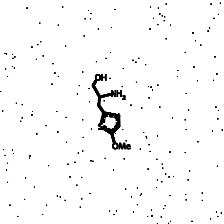 COc1ccc(CC(N)CO)s1